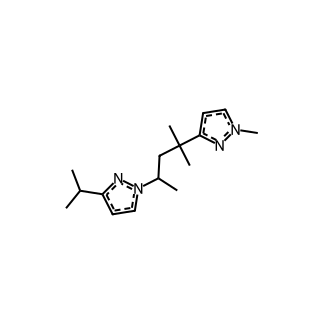 CC(C)c1ccn(C(C)CC(C)(C)c2ccn(C)n2)n1